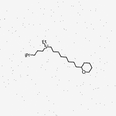 CC[S+](CCCCCCCCC1CCCCO1)CCCC(C)C